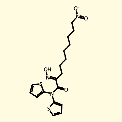 O=C(C(CCCCCCCC[N+](=O)[O-])=NO)N(c1cccs1)c1cccs1